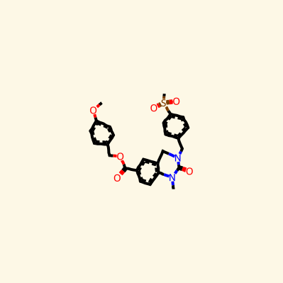 COc1ccc(COC(=O)c2ccc3c(c2)CN(Cc2ccc(S(C)(=O)=O)cc2)C(=O)N3C)cc1